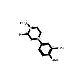 COc1ccc(N2CCN(C(=O)O)C(C(C)C)C2)cc1OC